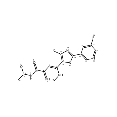 CN/C(=C\C(=N)C(=O)N[S+](C)[O-])c1sc(-c2cncc(F)c2)nc1C